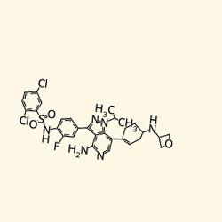 CC(C)n1nc(-c2ccc(NS(=O)(=O)c3cc(Cl)ccc3Cl)c(F)c2)c2c(N)ncc(C3=CCC(NC4COC4)CC3)c21